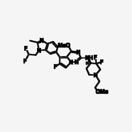 COCCN1CC[C@@H](Nc2nc(OC)c3c(-c4ccc5nc(C)n(CC(F)F)c5c4)c(F)cn3n2)C(F)(F)C1